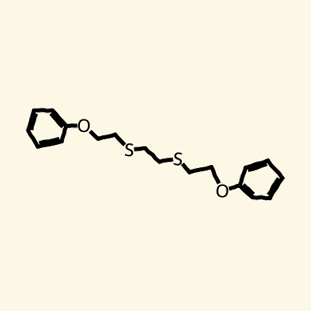 c1ccc(OCCSCCSCCOc2ccccc2)cc1